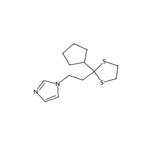 c1cn(CCC2(C3CCCC3)SCCS2)cn1